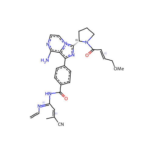 C=C/N=C(\C=C(/C)C#N)NC(=O)c1ccc(-c2nc([C@@H]3CCCN3C(=O)/C=C/COC)n3ccnc(N)c23)cc1